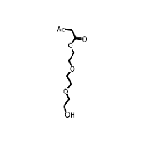 CC(=O)CC(=O)OCCOCCOCCO